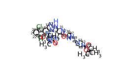 CN(C)C(=O)NCc1cc(Nc2ncc3cc(-c4c(Cl)cccc4Cl)c(=O)n(C)c3n2)cnc1Oc1ccn(CCN2CCN(C(=O)OC(C)(C)C)CC2)n1